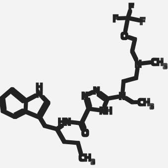 CCCC(Cc1c[nH]c2ccccc12)NC(=O)c1nnc(N(CC)CCN(C)CCOC(F)(F)F)[nH]1